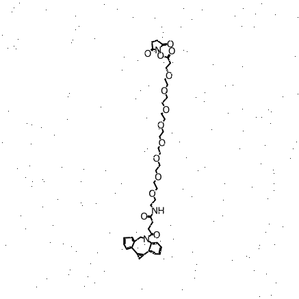 O=C(CCC(=O)N1Cc2ccccc2C2=C(C2)c2ccccc21)NCCOCCOCCOCCOCCOCCOCCOCCOCCC(=O)ON1C(=O)CCC1=O